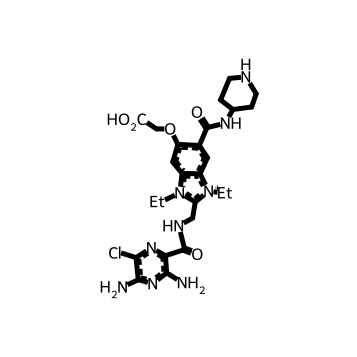 CCn1c(CNC(=O)c2nc(Cl)c(N)nc2N)[n+](CC)c2cc(C(=O)NC3CCNCC3)c(OCC(=O)O)cc21